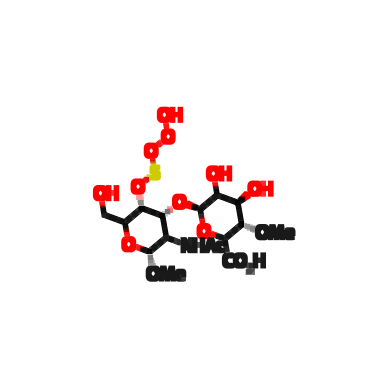 CO[C@@H]1OC(CO)[C@H](OSOOO)[C@H](O[C@@H]2OC(C(=O)O)[C@@H](OC)[C@H](O)C2O)C1NC(C)=O